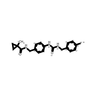 CC1(C(=O)NCc2ccc(NC(=O)NCc3ccc(F)cc3)cc2)CC1